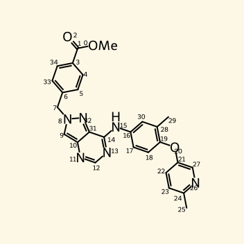 COC(=O)c1ccc(Cn2cc3ncnc(Nc4ccc(Oc5ccc(C)nc5)c(C)c4)c3n2)cc1